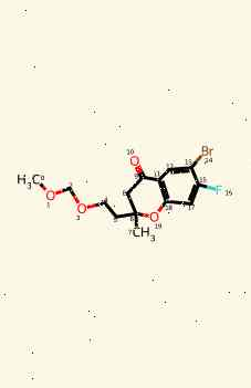 COCOCCC1(C)CC(=O)c2cc(Br)c(F)cc2O1